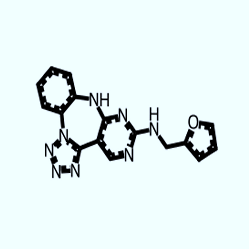 c1coc(CNc2ncc3c(n2)Nc2ccccc2-n2nnnc2-3)c1